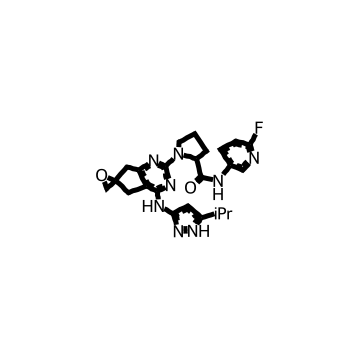 CC(C)c1cc(Nc2nc(N3CCCC3C(=O)Nc3ccc(F)nc3)nc3c2CC2(CO2)C3)n[nH]1